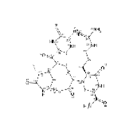 CCCC[C@@H]1NC[C@H](C(=O)C2CCC(N3C[C@H](C(N)=O)NC(=O)[C@@H]3CCCNC(=N)N)C(=O)C[C@H]3CN2[C@@H](C)C(=O)N3)NC1=O